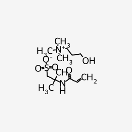 C=CC(=O)NC(C)(C)CS(=O)(=O)[O-].C[N+](C)(C)CCCO